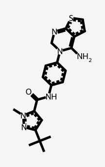 Cn1nc(C(C)(C)C)cc1C(=O)Nc1ccc(N2CN=c3sccc3=C2N)cc1